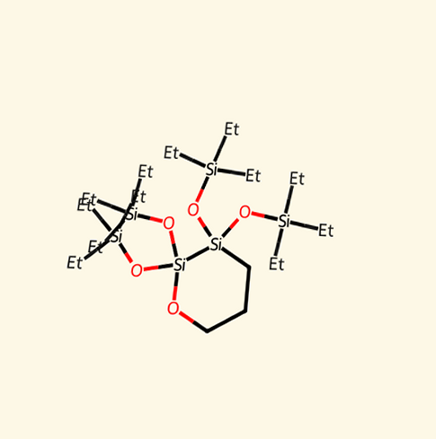 CC[Si](CC)(CC)O[Si]1(O[Si](CC)(CC)CC)CCCO[Si]1(O[Si](CC)(CC)CC)O[Si](CC)(CC)CC